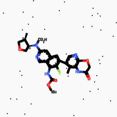 Cc1c(-c2cc3cc(N(C(=O)O)[C@H]4COC[C@H]4C)ncc3c(NC(=O)OC(C)(C)C)c2F)cnc2c1NC(=O)CO2